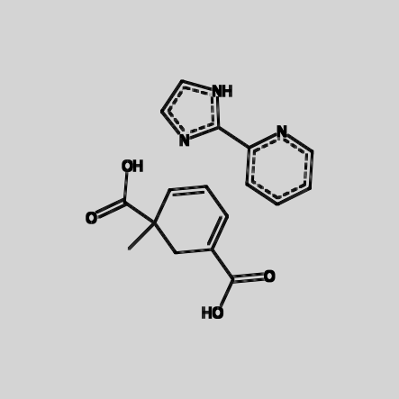 CC1(C(=O)O)C=CC=C(C(=O)O)C1.c1ccc(-c2ncc[nH]2)nc1